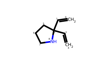 C=CC1(C=C)CCCN1